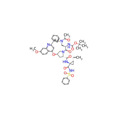 C=C[C@@H]1C[C@]1(NC(=O)[C@@H]1C[C@@H](Oc2cc(-c3ccccc3)nc3cc(OC)ccc23)CN1C(=O)[C@@H](CN(C)C(C)=O)NC(=O)OC(C)(C)C)C(=O)NS(=O)(=O)c1ccccc1